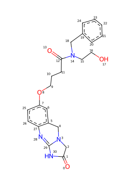 O=C1CN2Cc3cc(OCCCC(=O)N(CCO)Cc4ccccc4)ccc3N=C2N1